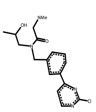 CNCC(=O)N(Cc1cccc(-c2ccnc(Cl)n2)c1)CC(C)O